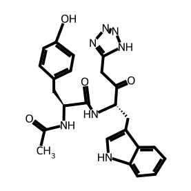 CC(=O)N[C@@H](Cc1ccc(O)cc1)C(=O)N[C@@H](Cc1c[nH]c2ccccc12)C(=O)Cc1nnn[nH]1